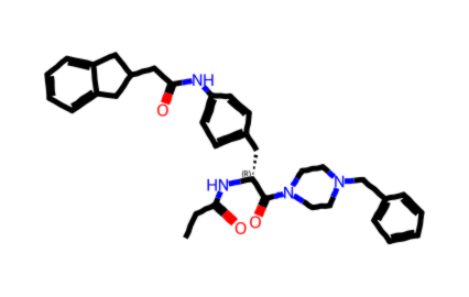 CCC(=O)N[C@H](Cc1ccc(NC(=O)CC2Cc3ccccc3C2)cc1)C(=O)N1CCN(Cc2ccccc2)CC1